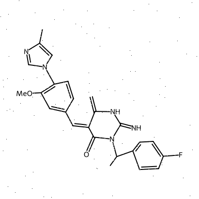 C=c1[nH]c(=N)n(C(C)c2ccc(F)cc2)c(=O)/c1=C/c1ccc(-n2cnc(C)c2)c(OC)c1